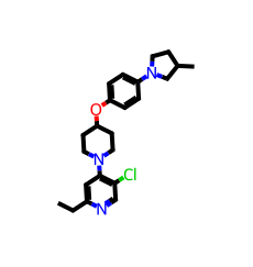 CCc1cc(N2CCC(Oc3ccc(N4CCC(C)C4)cc3)CC2)c(Cl)cn1